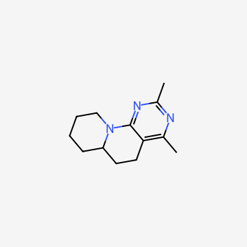 Cc1nc(C)c2c(n1)N1CCCCC1CC2